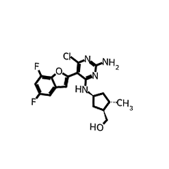 C[C@H]1C[C@H](Nc2nc(N)nc(Cl)c2-c2cc3cc(F)cc(F)c3o2)C[C@@H]1CO